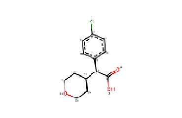 O=C(O)C(c1ccc(Cl)cc1)C1CCOCC1